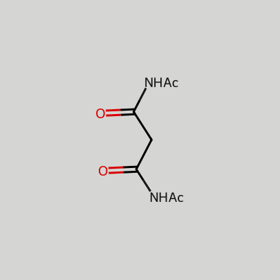 CC(=O)NC(=O)CC(=O)NC(C)=O